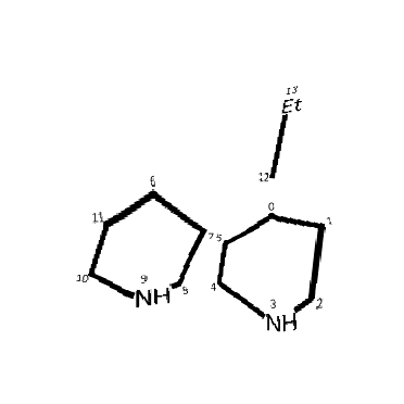 C1CCNCC1.C1CCNCC1.CCC